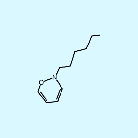 CCCCCCN1C=CC=CO1